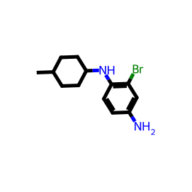 CC1CCC(Nc2ccc(N)cc2Br)CC1